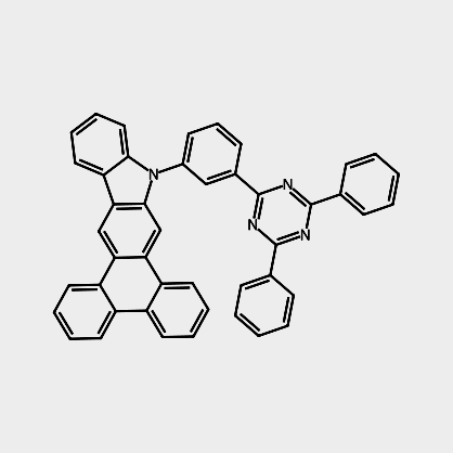 c1ccc(-c2nc(-c3ccccc3)nc(-c3cccc(-n4c5ccccc5c5cc6c7ccccc7c7ccccc7c6cc54)c3)n2)cc1